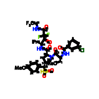 COC[C@H](NC(=O)c1cccc(Cl)c1)C(=O)N1C[C@H](C(c2ccc(OC)cc2)[SH](=O)=O)C[C@H]1C(=O)N[C@H](C(=O)C(F)(F)C(=O)NCC(F)(F)F)C(C)C